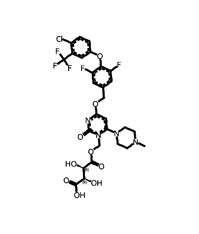 CN1CCN(c2cc(OCc3cc(F)c(Oc4ccc(Cl)c(C(F)(F)F)c4)c(F)c3)nc(=O)n2COC(=O)[C@H](O)[C@@H](O)C(=O)O)CC1